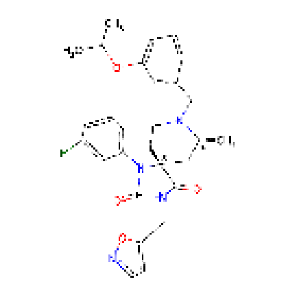 CC(C)Oc1cccc(CN2CC[C@@]3(C[C@@H]2C)C(=O)N(Cc2ccno2)C(=O)N3c2cccc(F)c2)c1